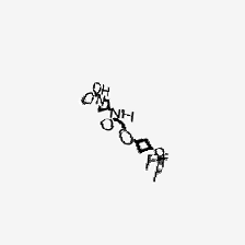 O=C(COC1CC(OC(F)(F)F)C1)NC1CN(C(=O)O)C1